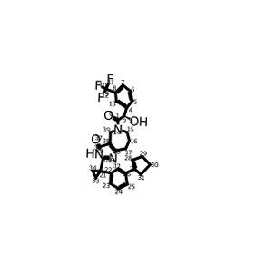 O=C([C@H](O)c1cccc(C(F)(F)F)c1)N1CCCc2nc(C3(c4cccc(C5=CCCC5)c4)CC3)[nH]c(=O)c2C1